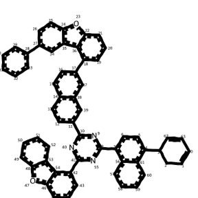 C1=CCC(c2ccc(-c3nc(-c4ccc5ccc(-c6cccc7oc8ccc(-c9ccccc9)cc8c67)cc5c4)nc(-c4cccc5oc6ccccc6c45)n3)c3ccccc23)C=C1